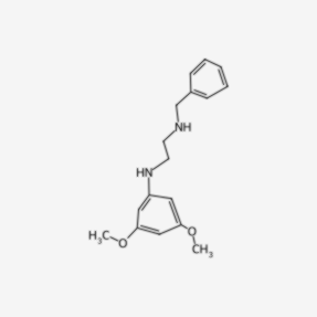 COc1cc(NCCNCc2ccccc2)cc(OC)c1